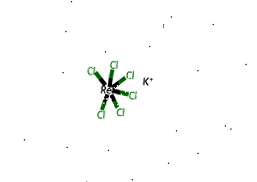 [Cl][Re-]([Cl])([Cl])([Cl])([Cl])[Cl].[K+]